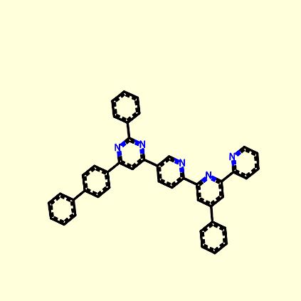 c1ccc(-c2ccc(-c3cc(-c4ccc(-c5cc(-c6ccccc6)cc(-c6ccccn6)n5)nc4)nc(-c4ccccc4)n3)cc2)cc1